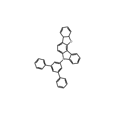 C1=CC2Oc3c(ccc4c3c3ccccc3n4-c3cc(-c4ccccc4)cc(-c4ccccc4)c3)C2C=C1